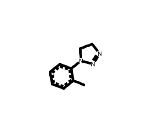 Cc1ccccc1N1CCN=N1